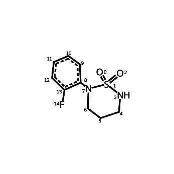 O=S1(=O)NCCCN1c1ccccc1F